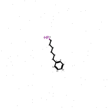 [PH]CCCCCCc1ccccc1